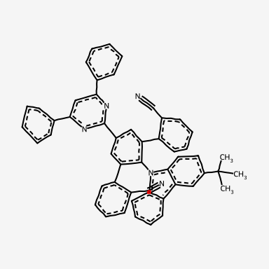 CC(C)(C)c1ccc2c(c1)c1ccccc1n2-c1c(-c2ccccc2C#N)cc(-c2nc(-c3ccccc3)cc(-c3ccccc3)n2)cc1-c1ccccc1C#N